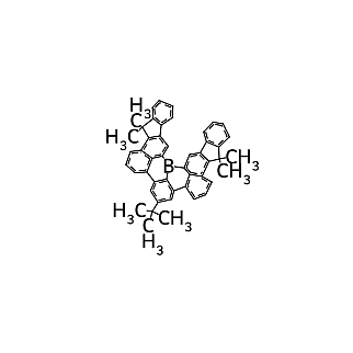 CC(C)(C)c1cc2c3c(c1)-c1cccc4c5c(cc(c14)B3c1cc3c(c4cccc-2c14)C(C)(C)c1ccccc1-3)-c1ccccc1C5(C)C